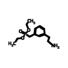 CCOP(=O)(Cc1cccc(CCN)c1)OCC